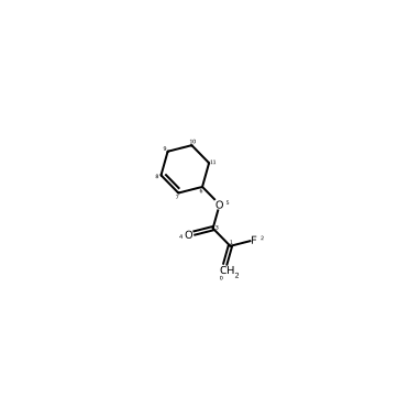 C=C(F)C(=O)OC1C=CCCC1